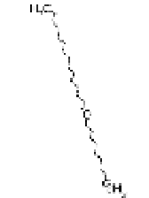 CCCCCCCCCCCCCCCOCCCCCCCCCC